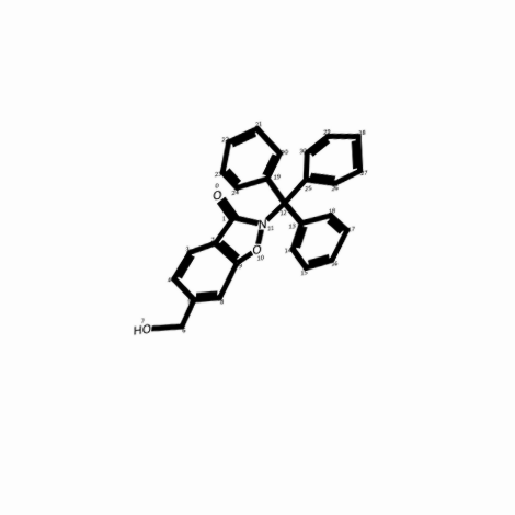 O=c1c2ccc(CO)cc2on1C(c1ccccc1)(c1ccccc1)c1ccccc1